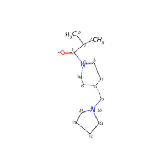 CC(C)C(=O)N1CCC(CN2CCCC2)CC1